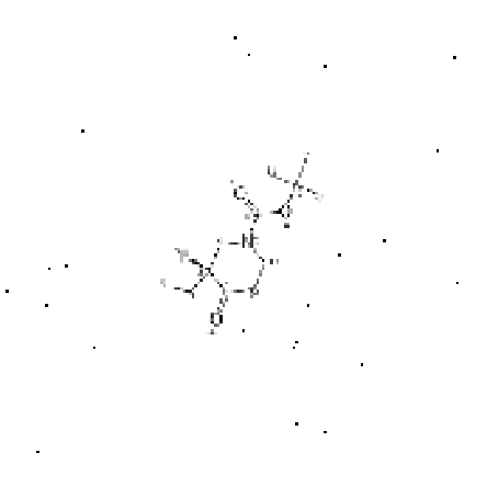 CC[C@]1(F)CN(C(=O)OC(C)(C)C)CCC1=O